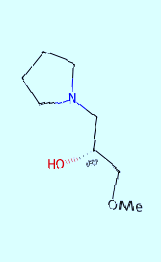 COC[C@H](O)CN1CCCC1